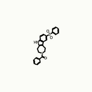 O=C(c1ccccc1)N1CCc2[nH]c3ccc(S(=O)(=O)c4ccccc4)cc3c2CC1